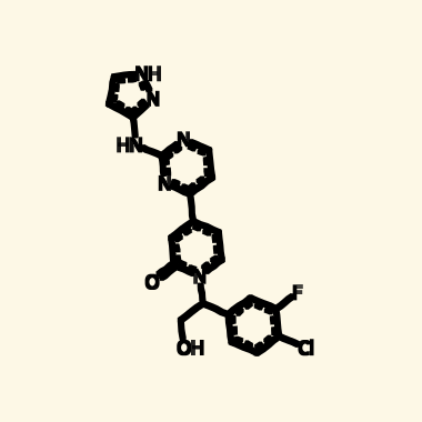 O=c1cc(-c2ccnc(Nc3cc[nH]n3)n2)ccn1C(CO)c1ccc(Cl)c(F)c1